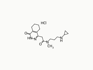 CN(CCCNC1CC1)C(=O)Cc1n[nH]c(=O)c2c1CCCC2.Cl